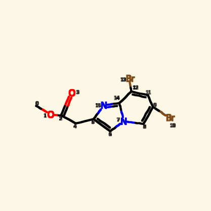 COC(=O)Cc1cn2cc(Br)cc(Br)c2n1